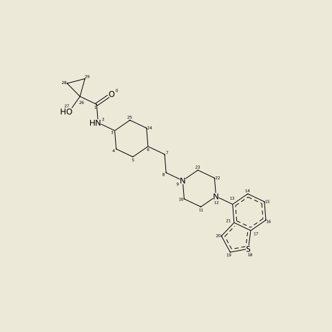 O=C(NC1CCC(CCN2CCN(c3cccc4sccc34)CC2)CC1)C1(O)CC1